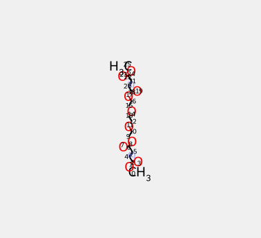 COC(=O)/C=C/C(=O)OCCOCCOCCOC(=O)/C=C/C(=O)OC